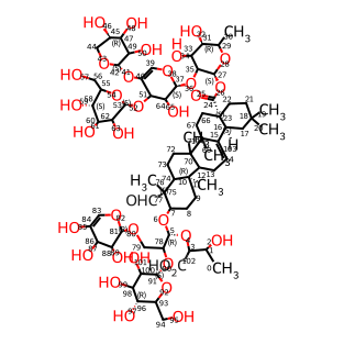 CC(O)C(O[C@@H](OC1CC[C@]2(C)C3CC=C4[C@@H]5CC(C)(C)CC[C@]5(C(=O)O[C@@H]5OC(C)[C@H](O)C(O)C5O[C@@H]5OC=C(O[C@@H]6OC[C@@H](O)C(O)C6O)C(O[C@@H]6OC(CO)[C@@H](O)C(O)C6O)C5O)CC[C@@]4(C)C3(C)CCC2[C@]1(C)C=O)C(CO[C@@H]1OC=C(O)C(O)C1O)O[C@@H]1OC(CO)[C@H](O)C(O)C1O)C(=O)O